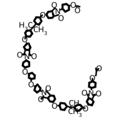 CC(C)(c1ccc(Oc2ccc3c(c2)C(=O)N(c2ccc(OCC4CO4)cc2)C3=O)cc1)c1ccc(Oc2ccc3c(c2)C(=O)N(c2ccc(Oc4cccc(Oc5ccc(N6C(=O)c7ccc(Oc8ccc(C(C)(C)c9ccc(Oc%10ccc%11c(c%10)C(=O)N(c%10ccc(OC%12CO%12)cc%10)C%11=O)cc9)cc8)cc7C6=O)cc5)c4)cc2)C3=O)cc1